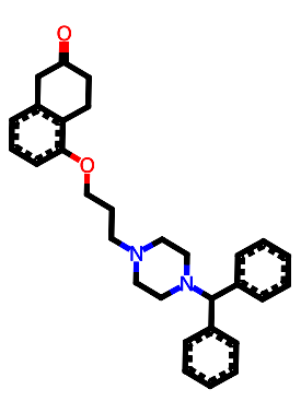 O=C1CCc2c(cccc2OCCCN2CCN(C(c3ccccc3)c3ccccc3)CC2)C1